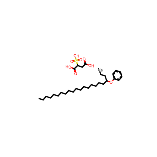 CCCCCCCCCCCCCCCCCCC(C[CH2][Na])Oc1ccccc1.O=C(O)CC(C(=O)O)S(=O)(=O)O